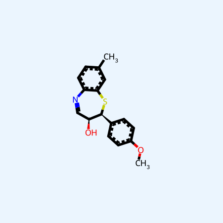 COc1ccc([C@@H]2Sc3cc(C)ccc3N=C[C@@H]2O)cc1